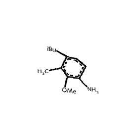 CCC(C)c1ccc(N)c(OC)c1C